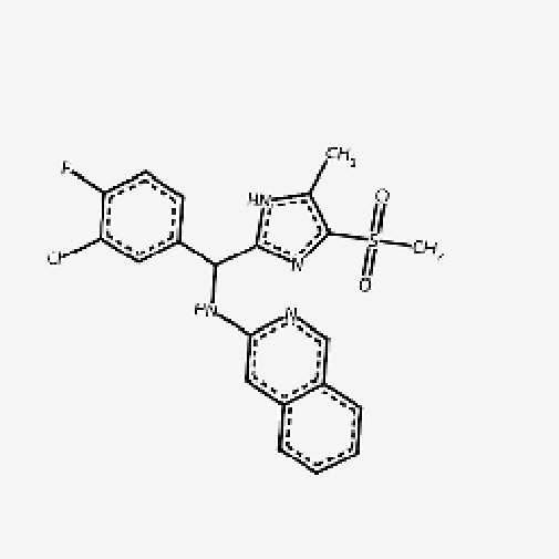 Cc1[nH]c(C(Nc2cc3ccccc3cn2)c2ccc(F)c(Cl)c2)nc1S(C)(=O)=O